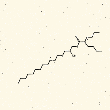 CCCCCCCCCCCCSCC(O)CSC(=S)N(CCCC)CCCC